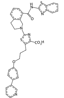 O=C(Nc1nc2ccccc2s1)c1cccc2c1CN(c1nc(C(=O)O)c(CCCOc3ccc(-c4cccnc4)cc3)s1)CC2